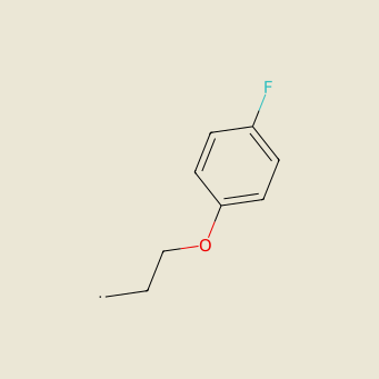 [CH2]CCOc1ccc(F)cc1